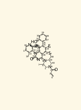 C=CC(=O)N1CC(C)N2c3nc(=O)n(-c4c(C)ccnc4C(C)C)c4c(F)c(-c5ccccc5O)c(F)c(c34)SCC2C1